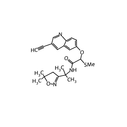 C#Cc1cnc2ccc(OC(SC)C(=O)NC(C)(C)C3=NOC(C)(C)C3)cc2c1